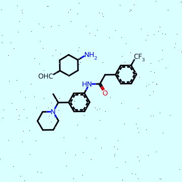 CC(c1cccc(NC(=O)Cc2cccc(C(F)(F)F)c2)c1)N1CCCCC1.NC1CCC(C=O)CC1